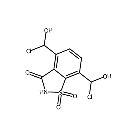 O=C1NS(=O)(=O)c2c(C(O)Cl)ccc(C(O)Cl)c21